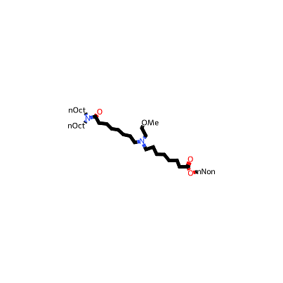 CCCCCCCCCOC(=O)CCCCCCCN(CCCCCCCC(=O)N(CCCCCCCC)CCCCCCCC)CCOC